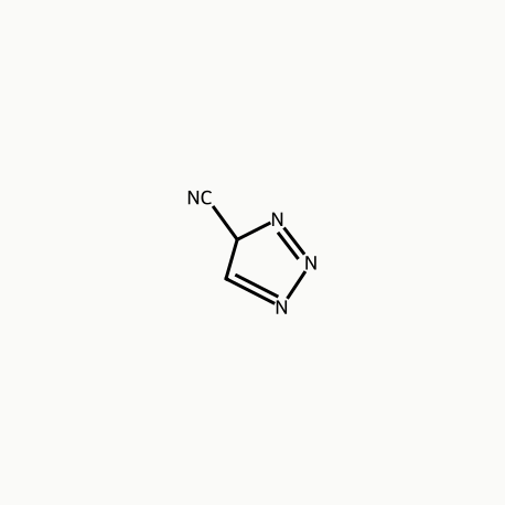 N#CC1C=NN=N1